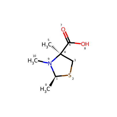 C[C@@H]1SC[C@](C)(C(=O)O)N1C